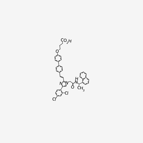 CC(NC(=O)Cn1cc(-c2ccc(Cl)cc2Cl)nc1C=Cc1ccc(-c2ccc(OCCCC(=O)O)cc2)cc1)c1cccc2ccccc12